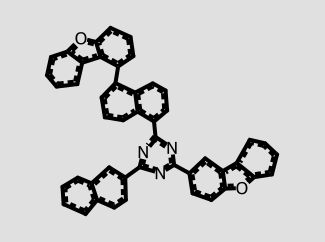 c1ccc2cc(-c3nc(-c4ccc5oc6ccccc6c5c4)nc(-c4cccc5c(-c6cccc7oc8ccccc8c67)cccc45)n3)ccc2c1